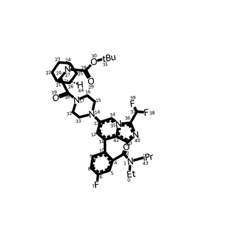 CCN(C(=O)c1cc(F)ccc1-c1cc(N2CCN(C(=O)[C@H]3C4CCC(CC4)N3C(=O)OC(C)(C)C)CC2)cn2c(C(F)F)ncc12)C(C)C